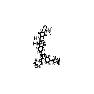 CN(C)C(=O)c1ccc(NC(=O)Nc2ccc(-c3nc(N4CCOCC4)c4ccc(-c5cnn(C)c5)cc4n3)cc2F)cc1